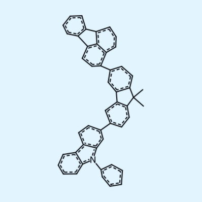 CC1(C)c2ccc(-c3ccc4c5ccccc5n(-c5ccccc5)c4c3)cc2-c2cc(-c3ccc4c5c(cccc35)-c3ccccc3-4)ccc21